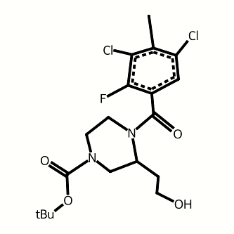 Cc1c(Cl)cc(C(=O)N2CCN(C(=O)OC(C)(C)C)CC2CCO)c(F)c1Cl